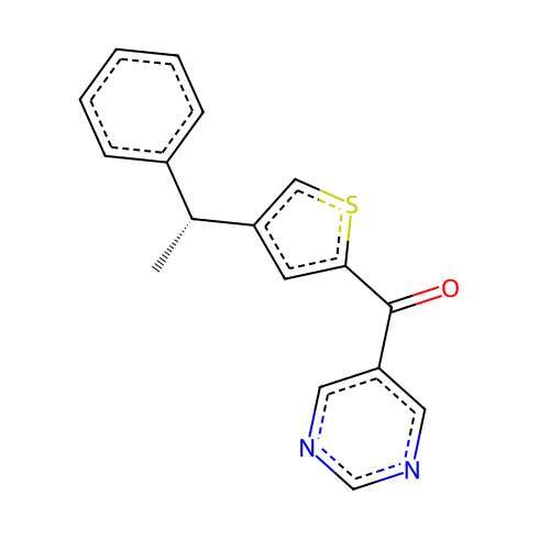 C[C@H](c1ccccc1)c1csc(C(=O)c2cncnc2)c1